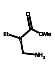 CCN(CN)C(=O)OC